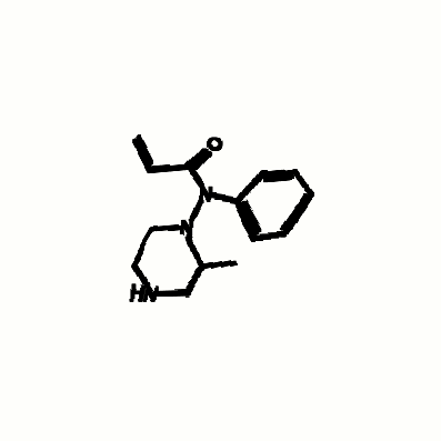 C=CC(=O)N(c1ccccc1)N1CCNCC1C